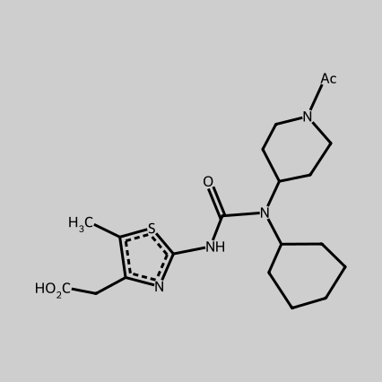 CC(=O)N1CCC(N(C(=O)Nc2nc(CC(=O)O)c(C)s2)C2CCCCC2)CC1